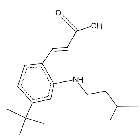 CC(C)CCNc1cc(C(C)(C)C)ccc1C=CC(=O)O